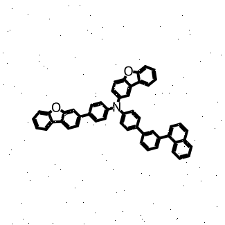 c1cc(-c2ccc(N(c3ccc(-c4ccc5c(c4)oc4ccccc45)cc3)c3ccc4oc5ccccc5c4c3)cc2)cc(-c2cccc3ccccc23)c1